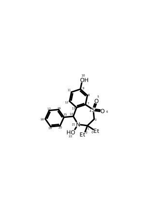 CCC1(CC)CS(=O)(=O)c2cc(O)ccc2C(c2ccccc2)N1O